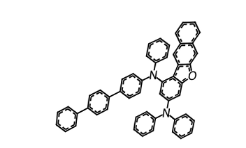 c1ccc(-c2ccc(-c3ccc(N(c4ccccc4)c4cc(N(c5ccccc5)c5ccccc5)cc5oc6cc7ccccc7cc6c45)cc3)cc2)cc1